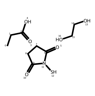 CCC(=O)O.O=C1CCC(=O)N1S.OCCO